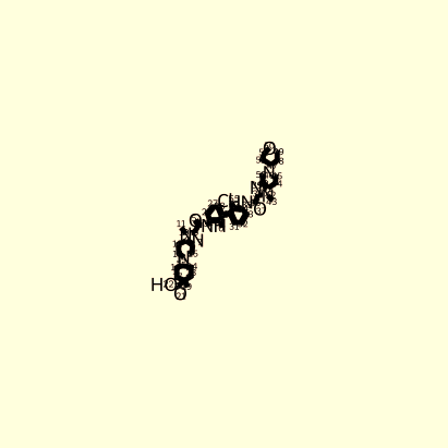 Cc1c(NC(=O)c2nc3c(n2C)CCN(C2CCC(C)(C(=O)O)CC2)C3)cccc1-c1cccc(NC(=O)c2nc3c(n2C)CCN(C2CCOCC2)C3)c1Cl